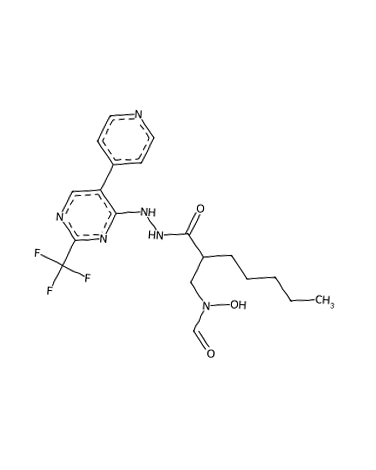 CCCCCC(CN(O)C=O)C(=O)NNc1nc(C(F)(F)F)ncc1-c1ccncc1